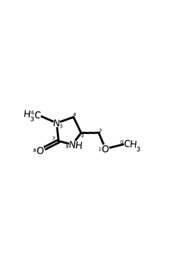 COCC1CN(C)C(=O)N1